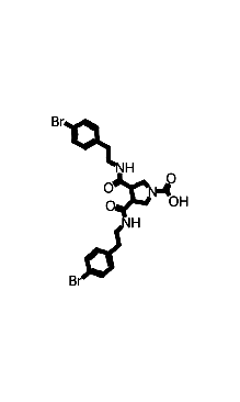 O=C(NCCc1ccc(Br)cc1)C1CN(C(=O)O)CC1C(=O)NCCc1ccc(Br)cc1